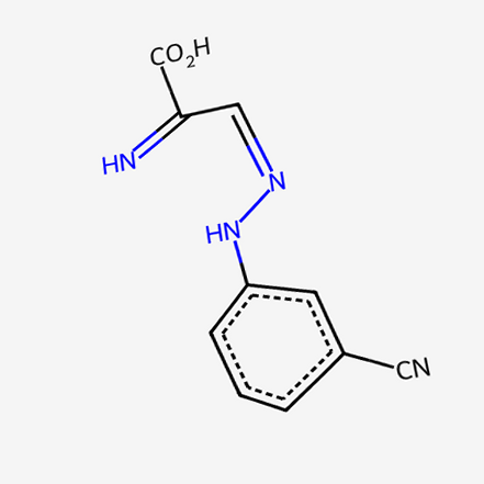 N#Cc1cccc(N/N=C\C(=N)C(=O)O)c1